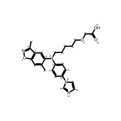 Cc1cc2onc(C)c2cc1N(CCCCCOCC(=O)O)c1ccc(-n2ccnc2)cc1